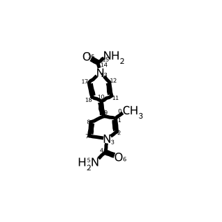 CC1=CN(C(N)=O)C=CC1=C1C=CN(C(N)=O)C=C1